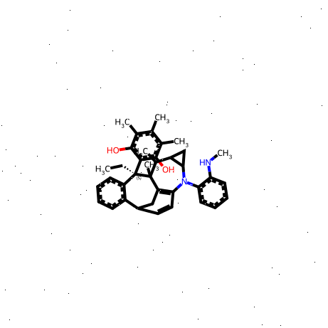 CC[C@@]1(c2c(O)c(C)c(C)c(C)c2O)c2ccccc2C2C=CC3=C(C2)C1(C)C(C)C1CC1N3c1ccccc1NC